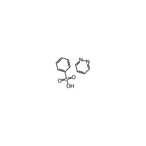 O=S(=O)(O)c1ccccc1.c1ccnnc1